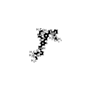 CCC(=O)N[C@H](C(=O)N1CCC[C@H]1c1ncc(-c2cc(F)c3c(c2)OC(c2cnc(CC(C)(C)C)s2)n2c-3cc3cc(-c4cnc([C@@H]5CCCN5C(=O)OC(C)(C)C)[nH]4)ccc32)[nH]1)C(C)C